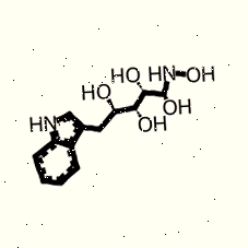 ON[C@@H](O)[C@@H](O)[C@H](O)[C@H](O)Cc1c[nH]c2ccccc12